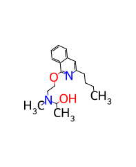 CCCCc1cc2ccccc2c(OCCN(C)C(C)O)n1